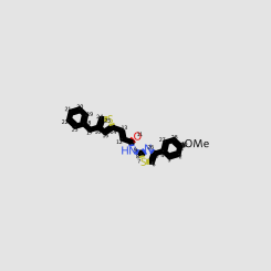 COc1ccc(-c2csc(NC(=O)C=Cc3cc(Cc4ccccc4)cs3)n2)cc1